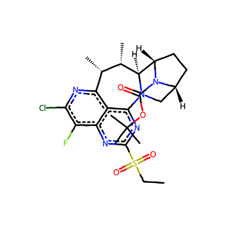 CCS(=O)(=O)c1nc2c3c(nc(Cl)c(F)c3n1)[C@H](C)[C@H](C)[C@H]1[C@@H]3CC[C@H](CN21)N3C(=O)OC(C)(C)C